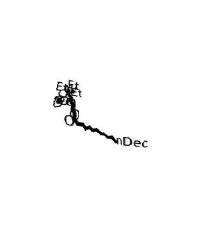 CCCCCCCCCCCCCCCCCCCCCC(=O)OCCOCC(OS(C)(=O)=O)[N+](CC)(CC)CC